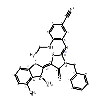 CCNc1ccc(C#N)cc1/N=C1\S/C(=C2\Sc3cccc(C)c3N2C)C(=O)N1Cc1ccccc1